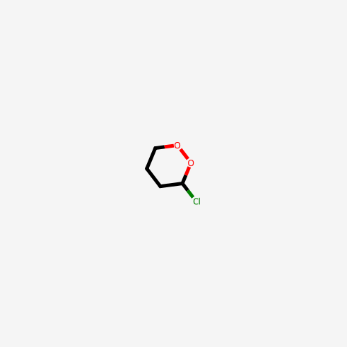 ClC1CCCOO1